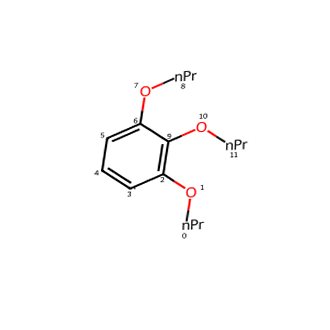 CCCOc1[c]ccc(OCCC)c1OCCC